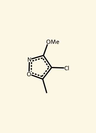 [CH2]Oc1noc(C)c1Cl